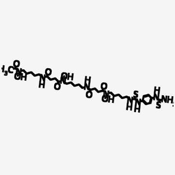 CC(=O)N(O)CCCCCNC(=O)CCC(=O)N(O)CCCCCNC(=O)CCC(=O)N(O)CCCCCNC(=S)Nc1ccc(NC(N)=S)cc1